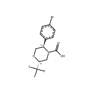 O=C(O)N1C[C@H](C(F)(F)F)OC[C@H]1c1ccc(Br)cc1